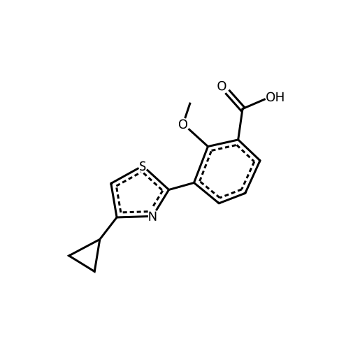 COc1c(C(=O)O)cccc1-c1nc(C2CC2)cs1